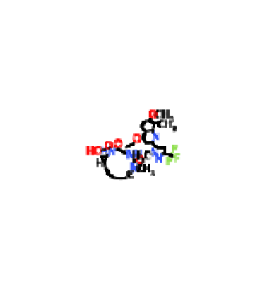 COc1ccc2c(OCC[C@@H]3NC(=O)N(C)CCCCC=C[C@@H]4C[C@@]4(C(=O)O)NC3=O)cc(-c3cc(C(F)(F)F)nn3C)nc2c1C